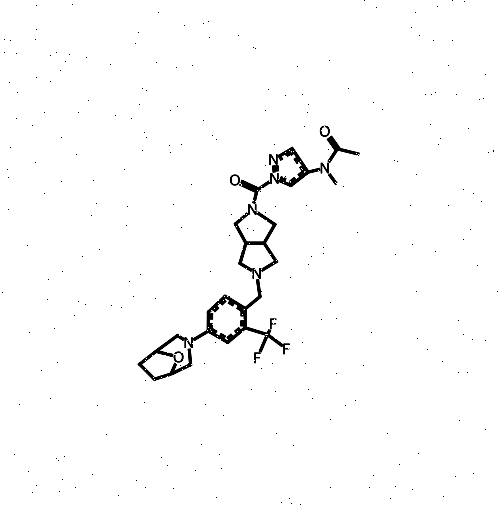 CC(=O)N(C)c1cnn(C(=O)N2CC3CN(Cc4ccc(N5CC6CCC(C5)O6)cc4C(F)(F)F)CC3C2)c1